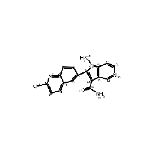 Cn1c(-c2ccc3nc(Cl)ccc3c2)c(C(N)=O)c2cnccc21